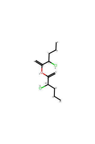 C=C(OC(=C)C(Cl)CCC)C(Cl)CCC